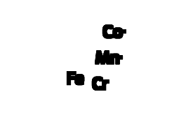 [Co].[Cr].[Fe].[Mn]